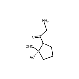 CC(=O)[C@@]1(C=O)CCCN1C(=O)CN